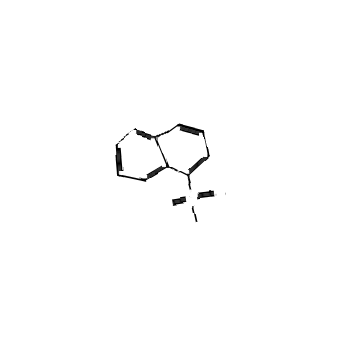 C=S(C)(=O)c1cccc2ccccc12